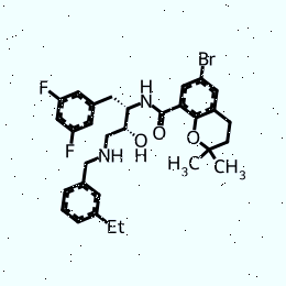 CCc1cccc(CNC[C@@H](O)[C@H](Cc2cc(F)cc(F)c2)NC(=O)c2cc(Br)cc3c2OC(C)(C)CC3)c1